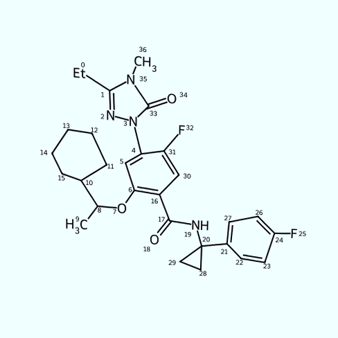 CCc1nn(-c2cc(OC(C)C3CCCCC3)c(C(=O)NC3(c4ccc(F)cc4)CC3)cc2F)c(=O)n1C